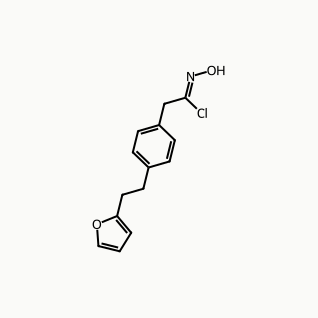 O/N=C(\Cl)Cc1ccc(CCc2ccco2)cc1